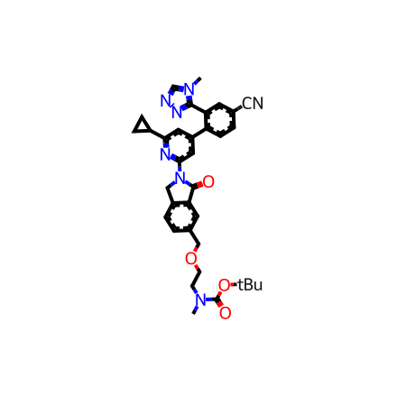 CN(CCOCc1ccc2c(c1)C(=O)N(c1cc(-c3ccc(C#N)cc3-c3nncn3C)cc(C3CC3)n1)C2)C(=O)OC(C)(C)C